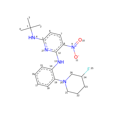 CC(C)(C)Nc1ccc([N+](=O)[O-])c(Nc2ccccc2N2CCCC(F)C2)n1